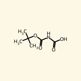 CC(C)(C)OC(=O)NC(=O)O